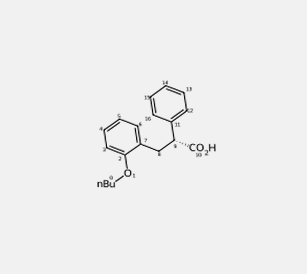 CCCCOc1ccccc1C[C@@H](C(=O)O)c1ccccc1